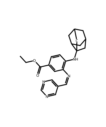 CCOC(=O)c1ccc(NC23CC4CC(CC2C4)C3)c(/N=C\c2cncnc2)c1